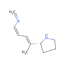 C=N/C=C\C=C(/C)[C@H]1CCCN1